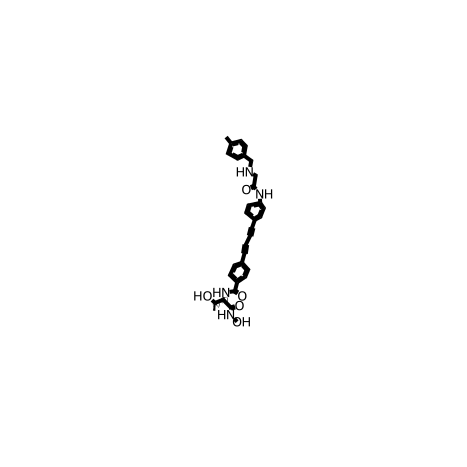 Cc1ccc(CNCC(=O)Nc2ccc(C#CC#Cc3ccc(C(=O)N[C@H](C(=O)NO)[C@@H](C)O)cc3)cc2)cc1